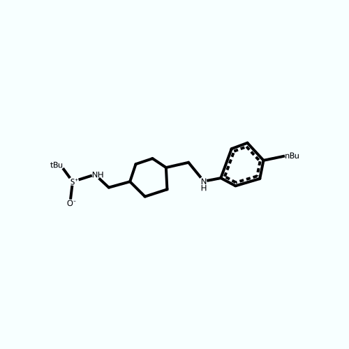 CCCCc1ccc(NCC2CCC(CN[S+]([O-])C(C)(C)C)CC2)cc1